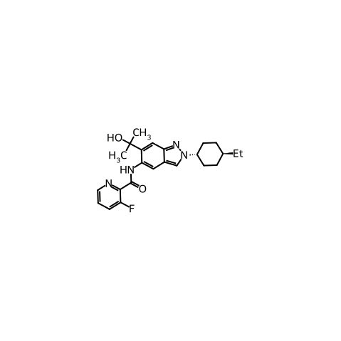 CC[C@H]1CC[C@H](n2cc3cc(NC(=O)c4ncccc4F)c(C(C)(C)O)cc3n2)CC1